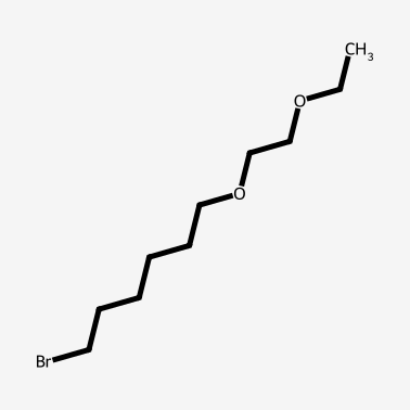 CCOCCOCCCCCCBr